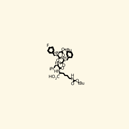 CC(C)C[C@@H](NC(=O)[C@@H](Cc1ccccc1)NC(=O)[C@@H](Cc1ccc(F)cc1)NC(=O)OC(C)(C)C)C(=O)N[C@H](CCCCNC(=O)OC(C)(C)C)C(=O)O